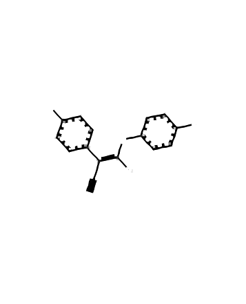 Cc1ccc(/C(C#N)=C(/N)Sc2ccc(N)cc2)cc1